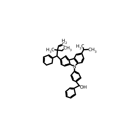 C=CC(C)(CC)C(C1=CC=CCC1)c1ccc2c(c1)c1cc(C(C)C)ccc1n2-c1ccc(C(O)c2ccccc2)cc1